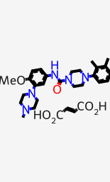 COc1ccc(NC(=O)N2CCN(c3cccc(C)c3C)CC2)cc1N1CCN(C)CC1.O=C(O)/C=C/C(=O)O